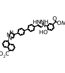 COC(=O)c1ccc(O)c(N2C=C(c3ccc(-c4ccc(-c5cn(-c6cccc7c(C(=O)O)cccc67)nn5)cc4)cc3)NN2)c1